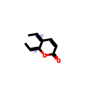 C/C=c1/ccc(=O)o/c1=C/C